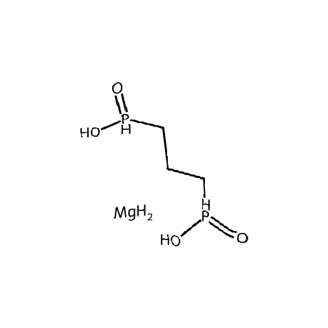 O=[PH](O)CCC[PH](=O)O.[MgH2]